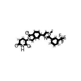 Cn1cc(-c2ccc3c(c2)CN(C2CCC(=O)NC2=O)C3=O)nc1-c1cccc(C(F)(F)F)c1